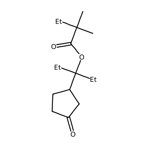 CCC(C)(C)C(=O)OC(CC)(CC)C1CCC(=O)C1